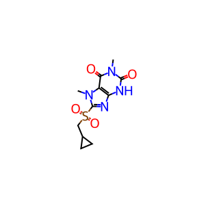 Cn1c(=O)[nH]c2nc(S(=O)(=O)CC3CC3)n(C)c2c1=O